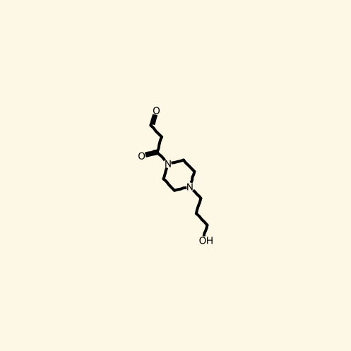 O=CCC(=O)N1CCN(CCCO)CC1